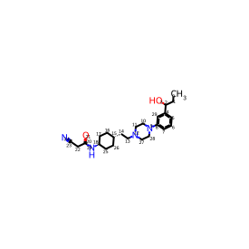 CCC(O)c1cccc(N2CCN(CC[C@H]3CC[C@H](NC(=O)CC#N)CC3)CC2)c1